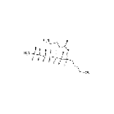 NC(F)(F)C(F)(F)C(F)(F)C(F)(F)C(F)(F)C(F)(F)C(F)(F)CCCCC(F)(F)F.NCCCC(F)F